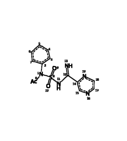 CC(=O)N(c1ccccc1)S(=O)(=O)NC(=N)c1cnccn1